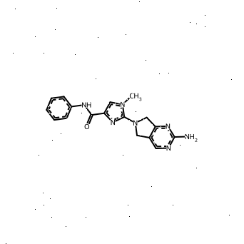 Cn1cc(C(=O)Nc2ccccc2)nc1N1Cc2cnc(N)nc2C1